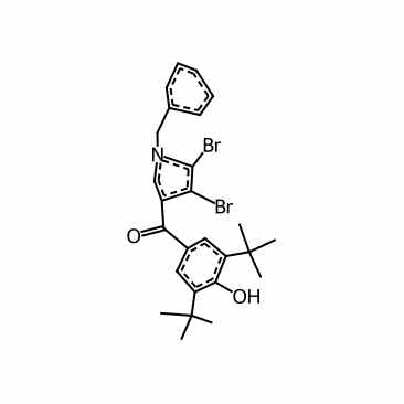 CC(C)(C)c1cc(C(=O)c2cn(Cc3ccccc3)c(Br)c2Br)cc(C(C)(C)C)c1O